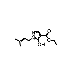 CCOC(=O)c1cnn(CC=C(C)C)c1O